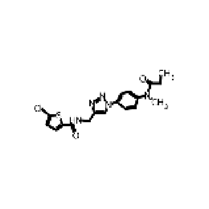 CCC(=O)N(C)c1ccc(-n2cc(CNC(=O)c3ccc(Cl)s3)nn2)cc1